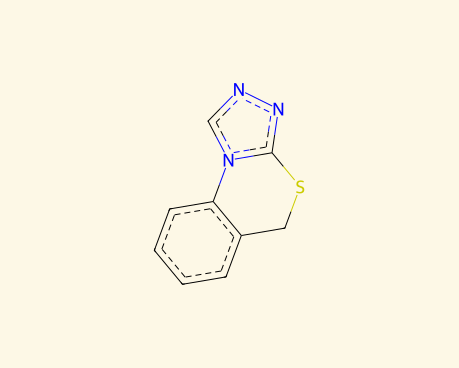 c1ccc2c(c1)CSc1nncn1-2